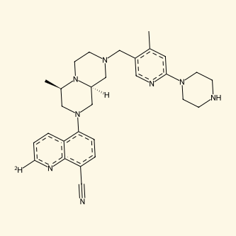 [2H]c1ccc2c(N3C[C@@H]4CN(Cc5cnc(N6CCNCC6)cc5C)CCN4[C@H](C)C3)ccc(C#N)c2n1